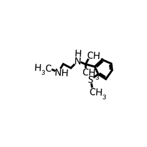 CNCCNC(C)(C)c1ccccc1SC